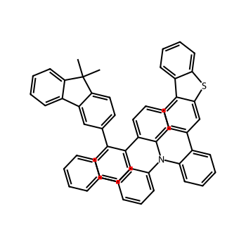 CC1(C)c2ccccc2-c2cc(-c3ccccc3-c3ccccc3N(c3cccc(-c4ccccc4)c3)c3ccccc3-c3ccc4c(c3)sc3ccccc34)ccc21